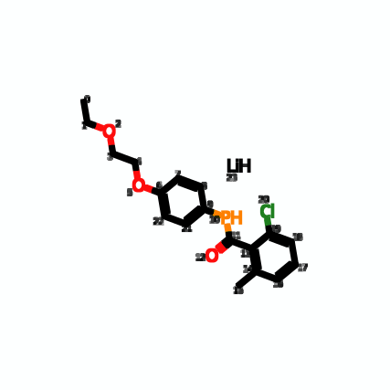 CCOCCOc1ccc(PC(=O)c2c(C)cccc2Cl)cc1.[LiH]